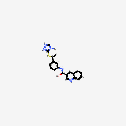 CC(Sc1nncn1C)c1cccc(NC(=O)c2cnc3ccccc3c2)c1